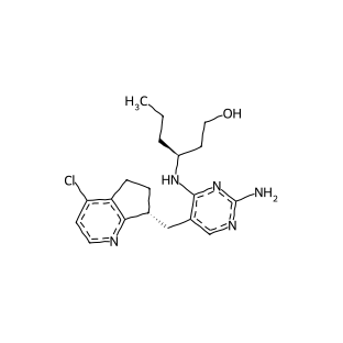 CCC[C@@H](CCO)Nc1nc(N)ncc1C[C@H]1CCc2c(Cl)ccnc21